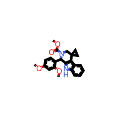 COC(=O)N1CC2(CC2)c2c([nH]c3ccccc23)C1c1ccc(OC)cc1OC